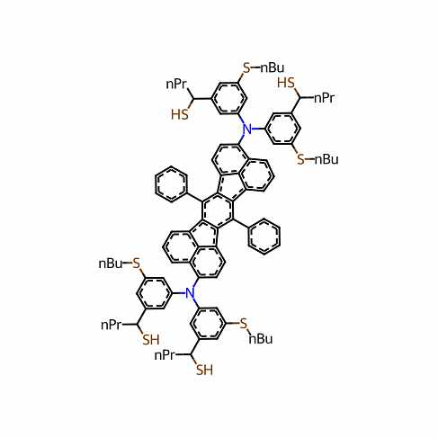 CCCCSc1cc(C(S)CCC)cc(N(c2cc(SCCCC)cc(C(S)CCC)c2)c2ccc3c4c(-c5ccccc5)c5c6cccc7c(N(c8cc(SCCCC)cc(C(S)CCC)c8)c8cc(SCCCC)cc(C(S)CCC)c8)ccc(c5c(-c5ccccc5)c4c4cccc2c43)c76)c1